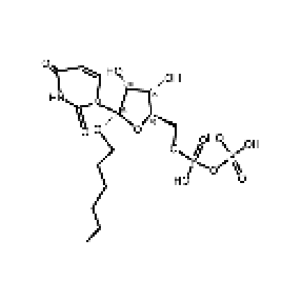 CCCCCCO[C@@]1(n2ccc(=O)[nH]c2=O)O[C@H](COP(=O)(O)OP(=O)(O)O)[C@@H](O)[C@H]1O